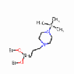 CCO[SiH](CCCN1CCN([Si](C)(C)C)CC1)OCC